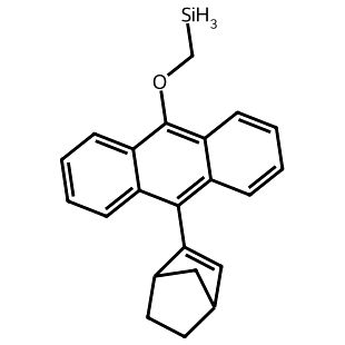 [SiH3]COc1c2ccccc2c(C2=CC3CCC2C3)c2ccccc12